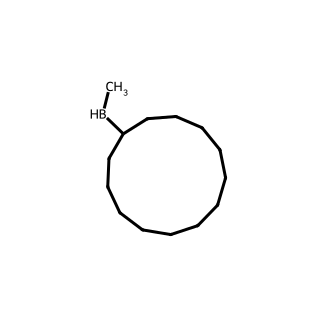 CBC1CCCCCCCCCCCC1